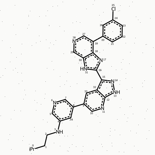 CC(C)CCNc1cncc(-c2cnc3[nH]nc(-c4nc5c(-c6cccc(Cl)c6)cncc5[nH]4)c3c2)c1